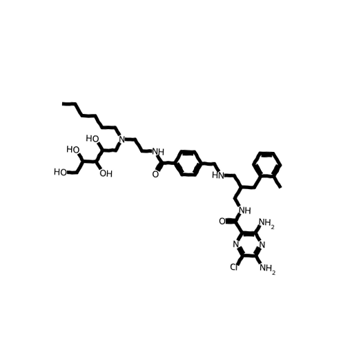 CCCCCCN(CCNC(=O)c1ccc(CNCC(CNC(=O)c2nc(Cl)c(N)nc2N)Cc2ccccc2C)cc1)CC(O)C(O)C(O)CO